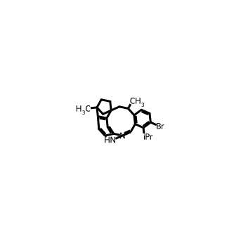 CC(C)c1c(Br)ccc2c1-c1nc3cc4c(cc3[nH]1)C1(C)CCC4(CC2C)C1